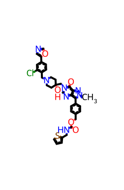 Cn1nc2c(=O)n(CC3(O)CCN(Cc4ccc(-c5cnco5)cc4Cl)CC3)cnc2c1-c1ccc(COC(=O)NCc2cccs2)cc1